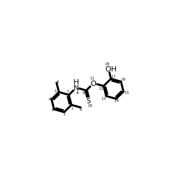 Cc1cccc(C)c1NC(=S)Oc1ccccc1O